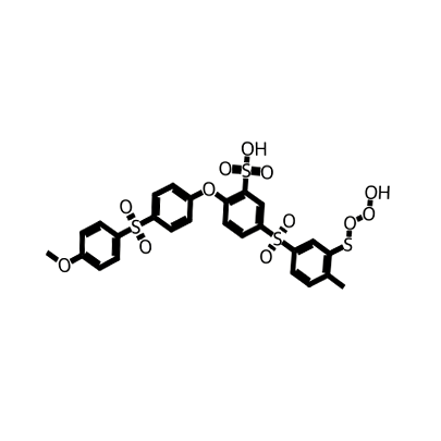 COc1ccc(S(=O)(=O)c2ccc(Oc3ccc(S(=O)(=O)c4ccc(C)c(SOOO)c4)cc3S(=O)(=O)O)cc2)cc1